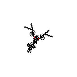 CCCCCCCC(CCCCC)CCOC(=O)CCCCCCN(CCCOC(c1ccccc1)(c1ccccc1)c1ccc(OC)cc1)CC(CCCCC(=O)OCCC(CCCCC)CCCCCCC)O[Si](C)(C)C(C)(C)C